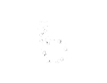 CCC1(OC(=O)C[S+]([O-])N2CCOCCOCCOCCOCCOCC2)CCCC1